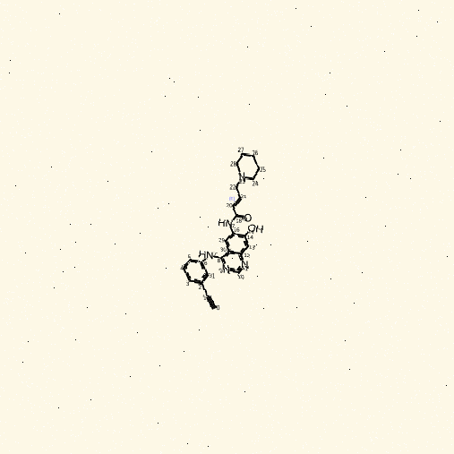 C#Cc1cccc(Nc2ncnc3cc(O)c(NC(=O)/C=C/CN4CCCCC4)cc23)c1